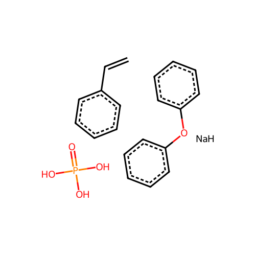 C=Cc1ccccc1.O=P(O)(O)O.[NaH].c1ccc(Oc2ccccc2)cc1